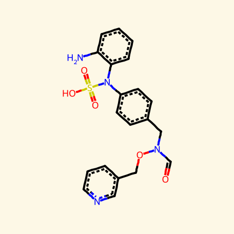 Nc1ccccc1N(c1ccc(CN(C=O)OCc2cccnc2)cc1)S(=O)(=O)O